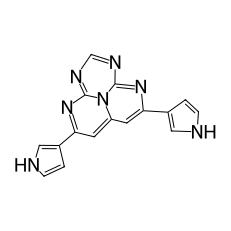 C1=NC2=NC(c3cc[nH]c3)=CC3=CC(c4cc[nH]c4)=NC(=N1)N32